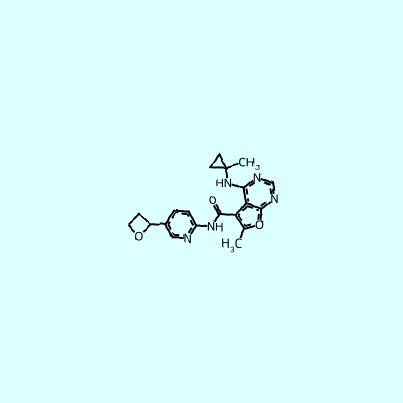 Cc1oc2ncnc(NC3(C)CC3)c2c1C(=O)Nc1ccc(C2CCO2)cn1